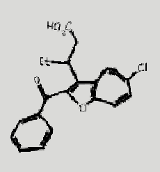 CCC(CC(=O)O)c1c(C(=O)c2ccccc2)oc2ccc(Cl)cc12